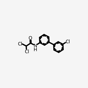 O=C(Nc1cccc(-c2cccc(Cl)c2)c1)C(Cl)Cl